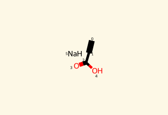 C#CC(=O)O.[NaH]